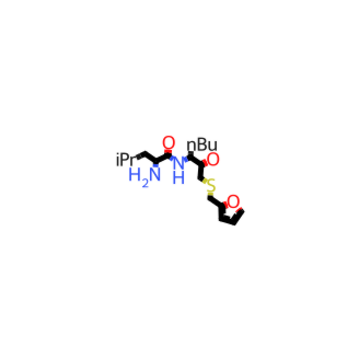 CCCCC(NC(=O)C(N)CC(C)C)C(=O)CSCc1ccco1